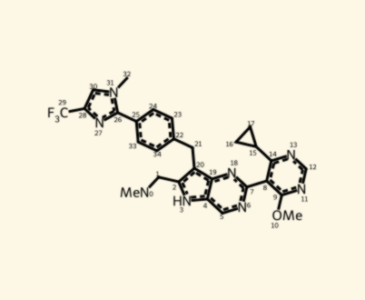 CNCc1[nH]c2cnc(-c3c(OC)ncnc3C3CC3)nc2c1Cc1ccc(-c2nc(C(F)(F)F)cn2C)cc1